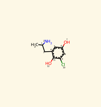 CC(N)Cc1cc(O)cc(Cl)c1O